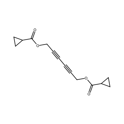 O=C(OCC#CC#CCOC(=O)C1CC1)C1CC1